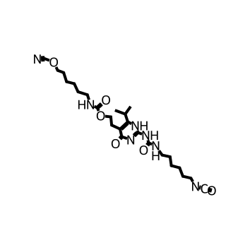 CC(C)c1[nH]c(NC(=O)NCCCCCCN=C=O)nc(=O)c1CCOC(=O)NCCCCCCOC#N